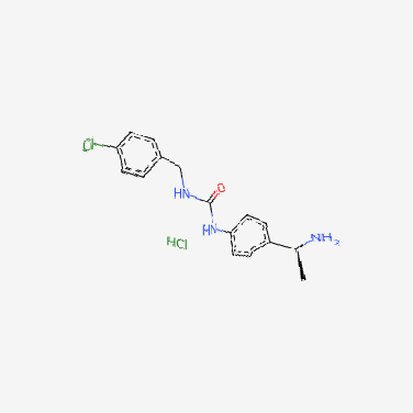 C[C@H](N)c1ccc(NC(=O)NCc2ccc(Cl)cc2)cc1.Cl